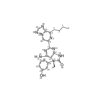 CCCCc1nc(-c2nc(N)c3c(n2)NC(=O)[C@]3(C)c2cccc(O)c2)cn2ncnc12